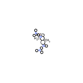 Cc1cc2c(ccc3c(n1-c1ccc4c(c1)c1ccccc1n4-c1ccccc1)[C@H](C)CC=C3)C(C)/C=c1\c(n(-c3ccc4c(c3)c3ccccc3n4-c3ccccc3)c3ccccc13)=C/CC2